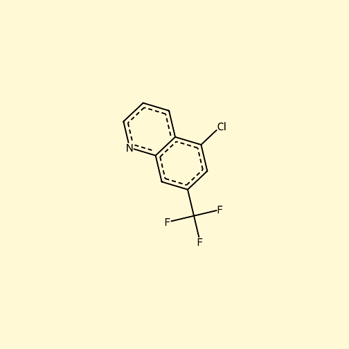 FC(F)(F)c1cc(Cl)c2cccnc2c1